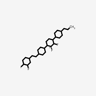 CCCC1CCC(C2CCC(C3CCC(CCC4CCC(I)C(F)C4)CC3)[C@H](F)C2F)CC1